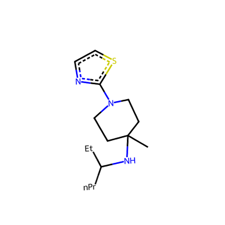 CCCC(CC)NC1(C)CCN(c2nccs2)CC1